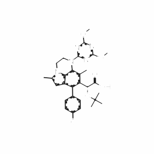 COc1nc(OC)nc(N2CCn3c(C)cc4c(-c5ccc(Cl)cc5)c([C@H](OC(C)(C)C)C(=O)O)c(C)c2c43)n1